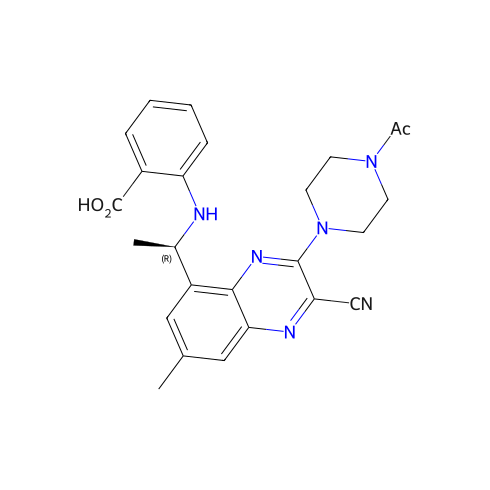 CC(=O)N1CCN(c2nc3c([C@@H](C)Nc4ccccc4C(=O)O)cc(C)cc3nc2C#N)CC1